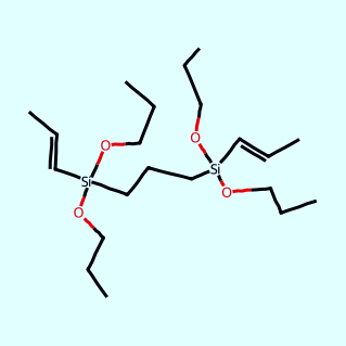 CC=C[Si](CCC[Si](C=CC)(OCCC)OCCC)(OCCC)OCCC